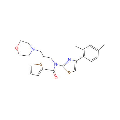 Cc1ccc(-c2csc(N(CCCN3CCOCC3)C(=O)c3cccs3)n2)c(C)c1